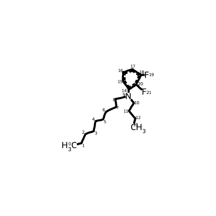 CCCCCCCCCN(CCCC)c1cccc(F)c1F